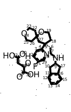 Fc1ccc([C@]2(CCNC3Cc4ccccc4C3)CCOC3(CCOCC3)C2)nc1.O=C(O)C[C@@H](O)C(=O)O